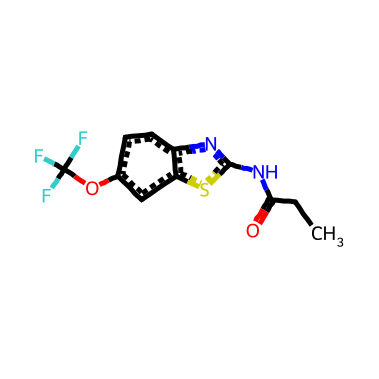 CCC(=O)Nc1nc2ccc(OC(F)(F)F)cc2s1